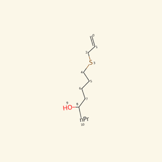 C=CCSCCCCC(O)CCC